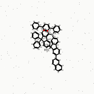 CC1(C)c2cc(-c3ccc4ccccc4c3)ccc2-c2ccc(N(c3ccccc3-c3ccc(-c4ccccc4)cc3)c3cccc4c3-c3ccccc3C4(c3ccccc3)c3ccccc3)cc21